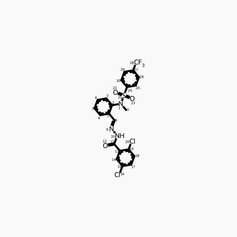 CN(c1ccccc1C=NNC(=O)c1cc(Cl)ccc1Cl)S(=O)(=O)c1ccc(C(F)(F)F)cc1